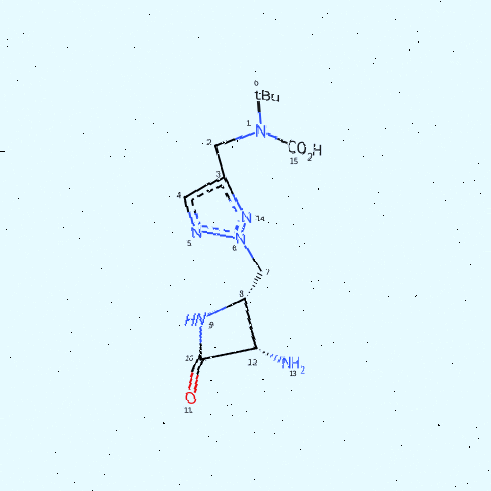 CC(C)(C)N(Cc1cnn(C[C@H]2NC(=O)[C@H]2N)n1)C(=O)O